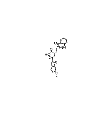 CCOc1ccc2cc(C(=O)CC(CCn3nnc4ccccc4c3=O)C(=O)O)sc2c1